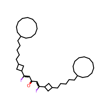 O=C(C=C(I)C1CC(CCCCCC2CCCCCCCCCCC2)C1)C=C(I)C1CC(CCCCCC2CCCCCCCCCCC2)C1